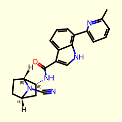 Cc1cccc(-c2cccc3c(C(=O)N[C@@H]4C[C@@H]5CC[C@H]4N5C#N)c[nH]c23)n1